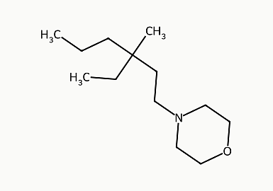 CCCC(C)(CC)CCN1CCOCC1